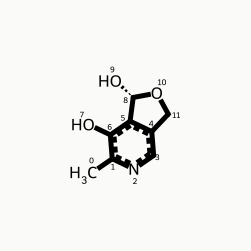 Cc1ncc2c(c1O)[C@H](O)OC2